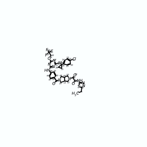 CCc1nnc(NC(=O)C(=O)N2CC3CN(C(=O)c4ccc(Nc5nc(NC6(c7ccc(Cl)cc7)CC6)nc(OCC(F)(F)F)n5)cc4)CC3C2)s1